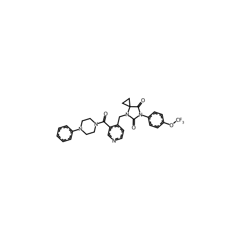 O=C(c1cnccc1CN1C(=O)N(c2ccc(OC(F)(F)F)cc2)C(=O)C12CC2)N1CCN(c2ccccc2)CC1